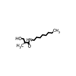 CCCCCCCCNC(=O)[C@@H](C)CO